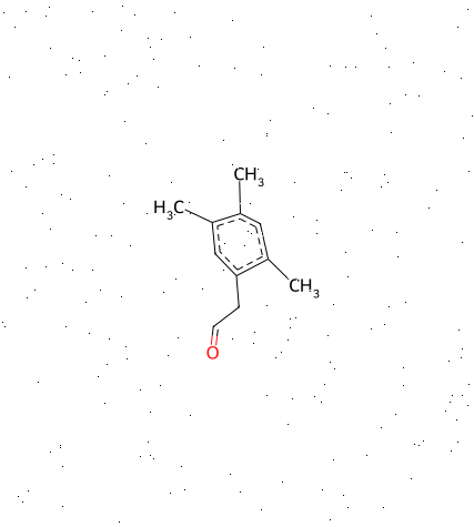 Cc1cc(C)c(CC=O)cc1C